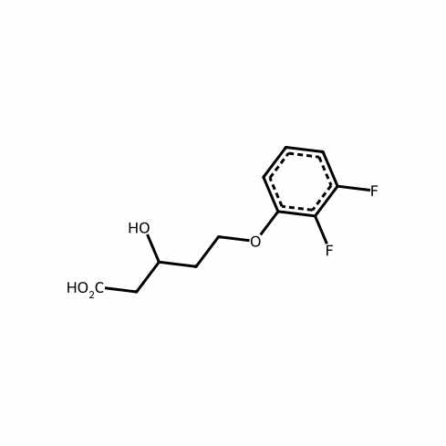 O=C(O)CC(O)CCOc1cccc(F)c1F